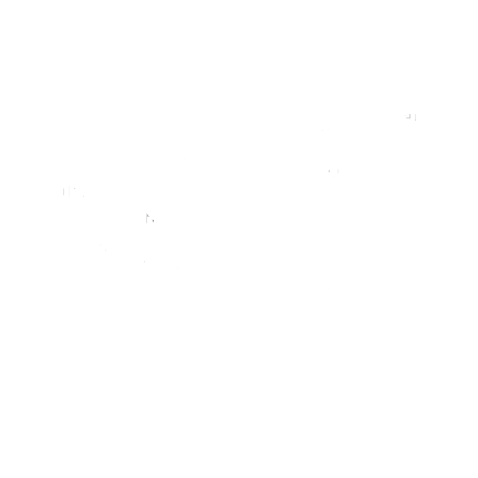 Cc1ccccc1S(=O)(=O)N1C(C(C)(C)C)C=C(COCC(=O)OC(C)(C)C)[C@@H]1c1ccc(Cl)cc1